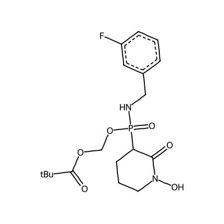 CC(C)(C)C(=O)OCOP(=O)(NCc1cccc(F)c1)C1CCCN(O)C1=O